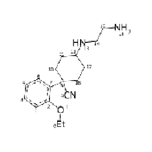 CCOc1ccccc1C1(C#N)CCC(NCCN)CC1